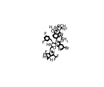 CPN(c1nn(C)c2c(-n3c([C@H](Cc4cc(F)cc(F)c4)NC(=O)Cn4nc(C(F)F)c5c4C(F)(F)[C@@H]4C[C@H]54)nc4ncc(Br)cc4c3=O)ccc(Cl)c12)S(C)(=O)=O